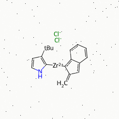 C=C1C=c2ccccc2=[C]1[Zr+2][c]1[nH]ccc1C(C)(C)C.[Cl-].[Cl-]